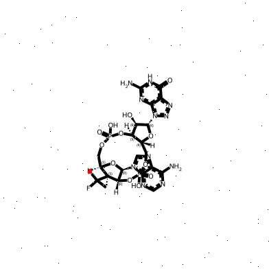 Nc1nc2c(nnn2[C@@H]2O[C@@H]3COP(=O)(O)O[C@H]4[C@H](n5cnc6c(N)ncnc65)O[C@H](COP(=O)(O)O[C@H]3[C@H]2O)[C@@]42CC2(F)F)c(=O)[nH]1